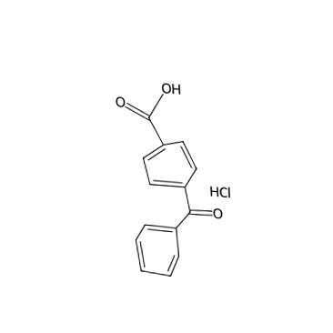 Cl.O=C(O)c1ccc(C(=O)c2ccccc2)cc1